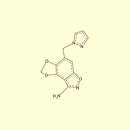 Nc1noc2cc(Cn3cccn3)c3c(c12)OCO3